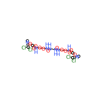 C[C@@H]1CCCCN1[C@H]1Cc2c(Cl)cc(Cl)cc2[C@@H]1Oc1ccc(S(=O)(=O)NCCOCCOCCNC(=O)NCCCCNC(=O)NCCOCCOCCNS(=O)(=O)c2ccc(O[C@H]3c4cc(Cl)cc(Cl)c4C[C@@H]3N3CCCC[C@H]3C)cc2)cc1